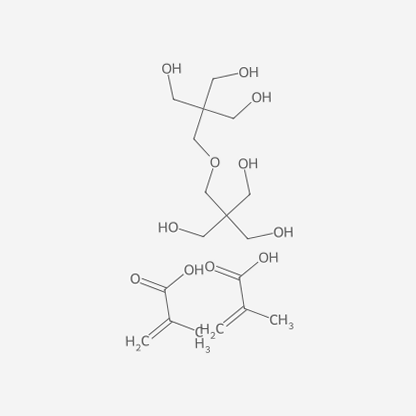 C=C(C)C(=O)O.C=C(C)C(=O)O.OCC(CO)(CO)COCC(CO)(CO)CO